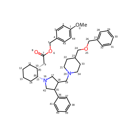 COc1ccc(COC(=O)C[C@H]2CCCC[C@H]2N2CC(CN3CCC(COCc4ccccc4)CC3)C(c3ccccc3)C2)cc1